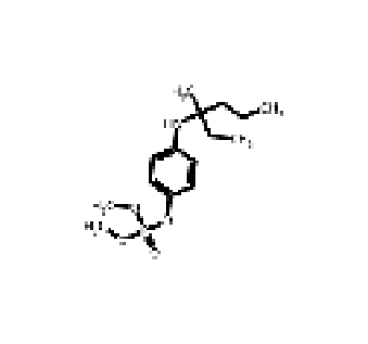 CCCC(C)(CC)Nc1ccc(OP(=O)(OC)OC)cc1